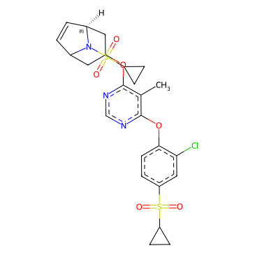 Cc1c(Oc2ccc(S(=O)(=O)C3CC3)cc2Cl)ncnc1OC1CC2C=C[C@@H](C1)N2S(=O)(=O)C1CC1